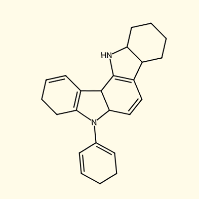 C1=CC(N2C3=C(C=CCC3)C3C4=C(C=CC32)C2CCCCC2N4)=CCC1